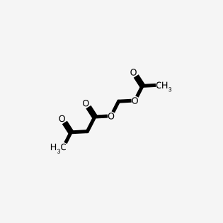 CC(=O)CC(=O)OCOC(C)=O